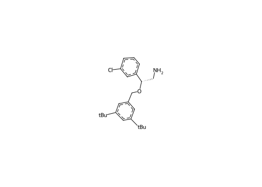 CC(C)(C)c1cc(CO[C@@H](CN)c2cccc(Cl)c2)cc(C(C)(C)C)c1